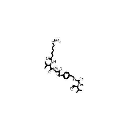 CC(C)C(NC(=O)CCCCCON)C(=O)NCC(=O)Nc1ccc(COC(=O)N(C)C(C=O)C(C)C)cc1